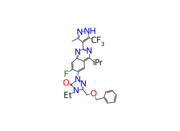 CCn1c(COCc2ccccc2)nn(-c2cc3c(C(C)C)nc(-c4c(C)n[nH]c4C(F)(F)F)nc3cc2F)c1=O